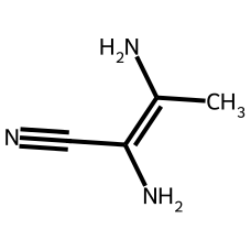 C/C(N)=C(\N)C#N